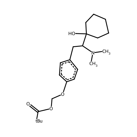 CN(C)C(Cc1ccc(OCOC(=O)C(C)(C)C)cc1)C1(O)CCCCC1